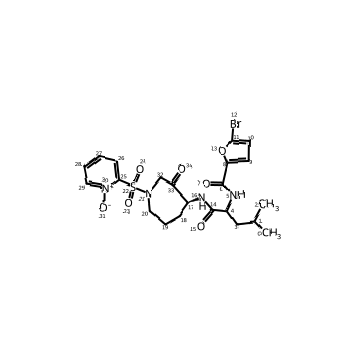 CC(C)CC(NC(=O)c1ccc(Br)o1)C(=O)N[C@H]1CCCN(S(=O)(=O)c2cccc[n+]2[O-])CC1=O